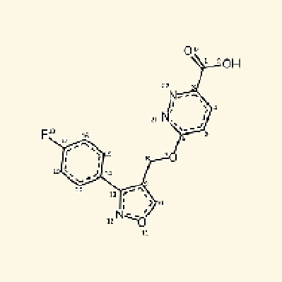 O=C(O)c1ccc(OCc2conc2-c2ccc(F)cc2)nn1